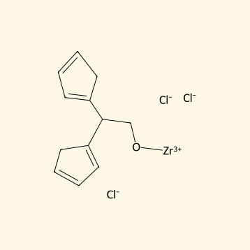 [Cl-].[Cl-].[Cl-].[Zr+3][O]CC(C1=CC=CC1)C1=CC=CC1